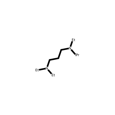 CCN(CC)CCCN(CC)C(C)C